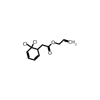 C=CCOC(=O)CC1C=CC=CC1(Cl)Cl